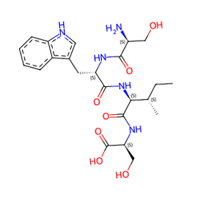 CC[C@H](C)[C@H](NC(=O)[C@H](Cc1c[nH]c2ccccc12)NC(=O)[C@@H](N)CO)C(=O)N[C@@H](CO)C(=O)O